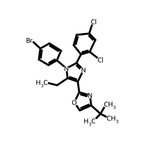 CCc1c(-c2nc(C(C)(C)C)co2)nc(-c2ccc(Cl)cc2Cl)n1-c1ccc(Br)cc1